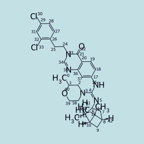 CC1CN(/C(=N\[C@H]2C[C@@H]3C[C@H]([C@@H]2C)C3(C)C)Nc2ccc3c(=O)n(CCc4ccc(Cl)cc4Cl)cnc3c2)CCO1